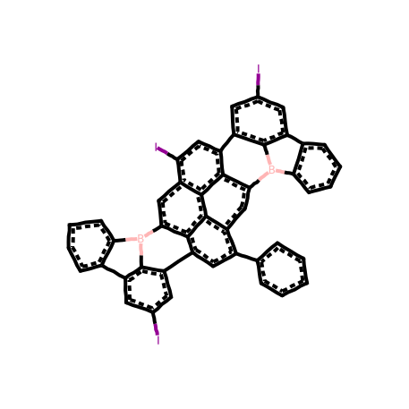 Ic1cc2c3c(c1)-c1cc(I)c4cc5c6c(cc(-c7ccccc7)c7cc(c1c4c76)B3c1ccccc1-2)-c1cc(I)cc2c1B5c1ccccc1-2